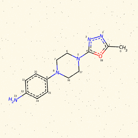 Cc1nnc(N2CCN(c3ccc(N)cc3)CC2)o1